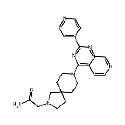 NC(=O)CN1CCC2(CCN(c3nc(-c4ccncc4)nc4cnccc34)CC2)C1